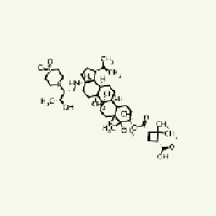 C=C(C)[C@@H]1CC[C@]2(NC[C@H]([C@@H](C)O)N3CCS(=O)(=O)CC3)CC[C@]3(C)[C@H](CC[C@@H]4[C@@]5(C)CC[C@H](OC(=O)[C@H]6C[C@@H](C(=O)O)C6(C)C)C(C)(C)[C@@H]5CC[C@]43C)[C@@H]12